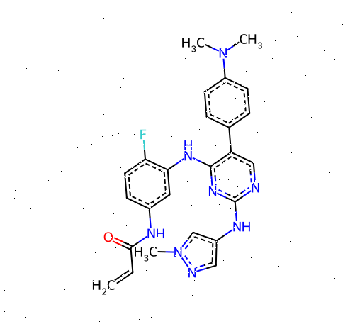 C=CC(=O)Nc1ccc(F)c(Nc2nc(Nc3cnn(C)c3)ncc2-c2ccc(N(C)C)cc2)c1